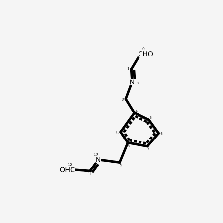 O=CC=NCc1cccc(CN=CC=O)c1